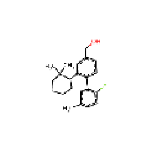 Cc1ccc(F)c(-c2ccc(CO)cc2[C@H]2CCCCC2(C)C)c1